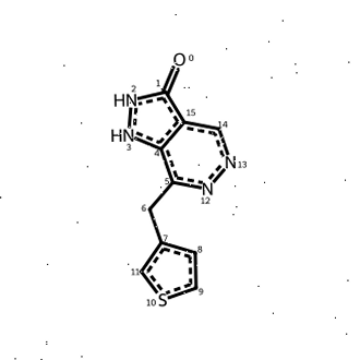 O=c1[nH][nH]c2c(Cc3ccsc3)nncc12